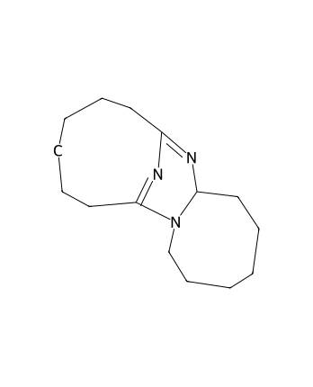 C1CCCC2=NC(=NC3CCCCCCN23)CC1